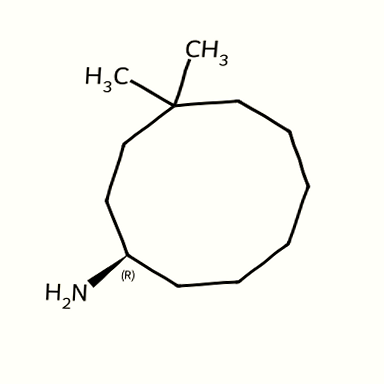 CC1(C)CCCCCC[C@@H](N)CC1